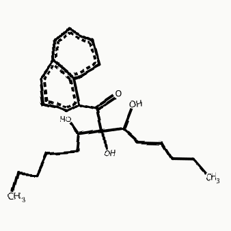 CCCCCC(O)C(O)(C(=O)c1cccc2ccccc12)C(O)CCCCC